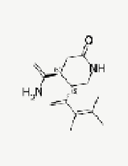 C=C(N)[C@H]1CC(=O)NC[C@@H]1C(=C)C(C)=C(C)C